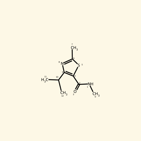 CNC(=O)c1sc(C)nc1C(C)C